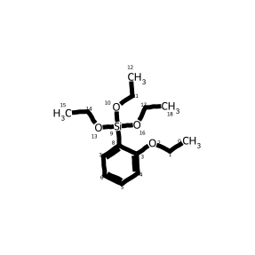 CCOc1ccccc1[Si](OCC)(OCC)OCC